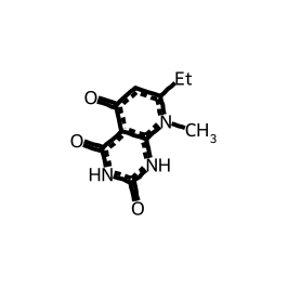 CCc1cc(=O)c2c(=O)[nH]c(=O)[nH]c2n1C